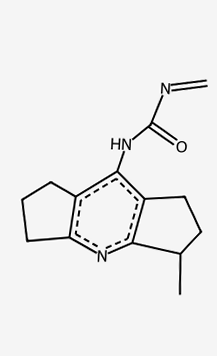 C=NC(=O)Nc1c2c(nc3c1CCC3C)CCC2